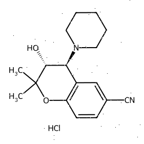 CC1(C)Oc2ccc(C#N)cc2[C@H](N2CCCCC2)[C@H]1O.Cl